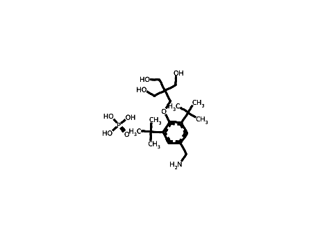 CC(C)(C)c1cc(CN)cc(C(C)(C)C)c1OCC(CO)(CO)CO.O=P(O)(O)O